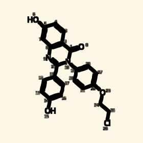 O=c1c2ccc(O)cc2nc(-c2ccc(O)cc2)n1-c1ccc(OCCCl)cc1